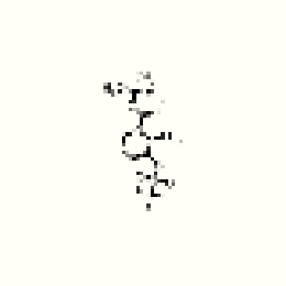 CC1C(OS(=O)(=O)C(F)(F)F)=CCCN1C(=O)OC(C)(C)C